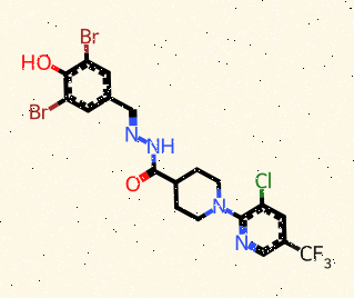 O=C(NN=Cc1cc(Br)c(O)c(Br)c1)C1CCN(c2ncc(C(F)(F)F)cc2Cl)CC1